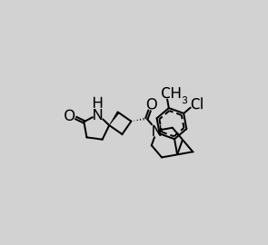 Cc1ccc(C23CCN(C(=O)[C@H]4C[C@]5(CCC(=O)N5)C4)CC2C3)cc1Cl